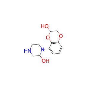 OC1COc2cccc(N3CCNCC3O)c2O1